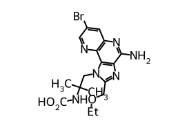 CCOCc1nc2c(N)nc3cc(Br)cnc3c2n1CC(C)(C)NC(=O)O